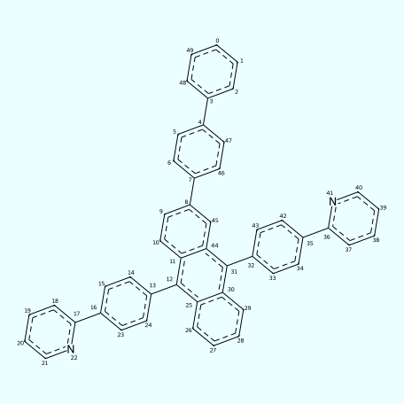 c1ccc(-c2ccc(-c3ccc4c(-c5ccc(-c6ccccn6)cc5)c5ccccc5c(-c5ccc(-c6ccccn6)cc5)c4c3)cc2)cc1